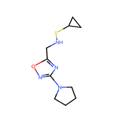 C1CCN(c2noc(CNSC3CC3)n2)C1